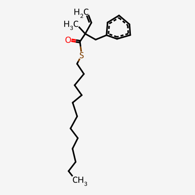 C=CC(C)(Cc1ccccc1)C(=O)SCCCCCCCCCCCC